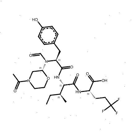 CC[C@H](C)[C@H](NC(=O)[C@H](Cc1ccc(O)cc1)N(C=O)[C@H]1CN(C(C)=O)CCO1)C(=O)N[C@@H](CCC(F)(F)F)C(=O)O